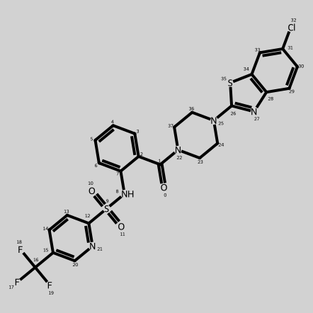 O=C(c1ccccc1NS(=O)(=O)c1ccc(C(F)(F)F)cn1)N1CCN(c2nc3ccc(Cl)cc3s2)CC1